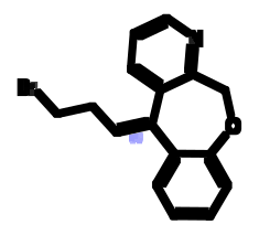 BrCC/C=C1/c2ccccc2OCc2ncccc21